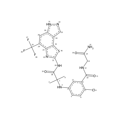 CC(C)(Nc1ccc(Cl)c(C(=O)NCC(N)=O)c1)C(=O)Nc1nc2c(C(F)(F)F)cc3[nH]ncc3c2s1